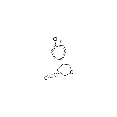 C1CCOC1.Cc1ccccc1.[Cl-].[Cl-].[Cr+2]